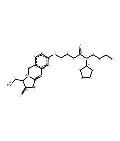 CCCCN(C(=O)CCCOc1ccc2c(c1)N=C1NC(=O)C(CO)N1C2)C1CCCC1